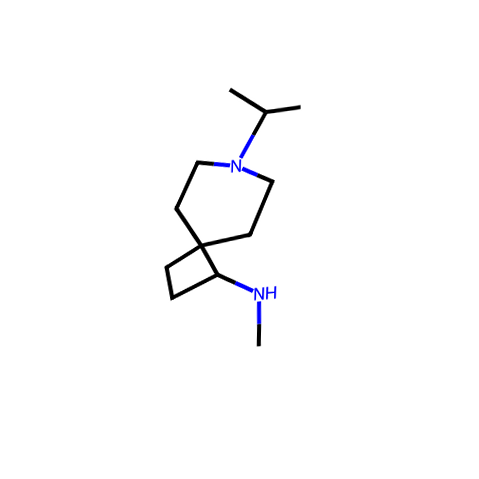 CNC1CCC12CCN(C(C)C)CC2